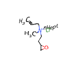 C=CC[N+](C)(CCCCCCC)CCC1CO1.[Cl-]